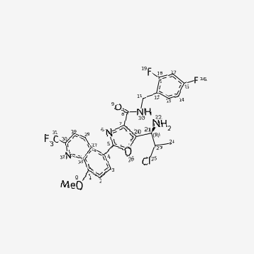 COc1ccc(-c2nc(C(=O)NCc3ccc(F)cc3F)c([C@@H](N)C(C)Cl)o2)c2ccc(C(F)(F)F)nc12